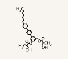 C=C(CO)C(=O)OCc1cc(OC(=O)C(=C)CO)cc(-c2ccc(C3CCC(CCCCCCC)CC3)cc2)c1